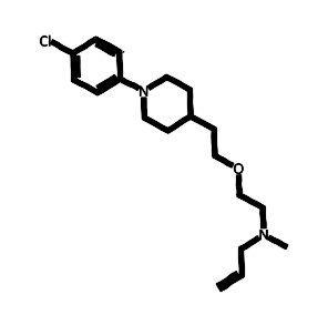 C=CCN(C)CCOCCC1CCN(c2[c]cc(Cl)cc2)CC1